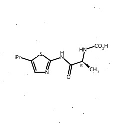 CC(C)c1cnc(NC(=O)[C@H](C)NC(=O)O)s1